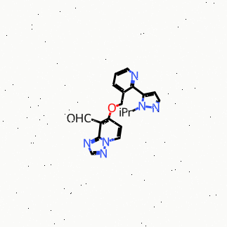 CC(C)n1nccc1-c1ncccc1COc1ccn2ncnc2c1C=O